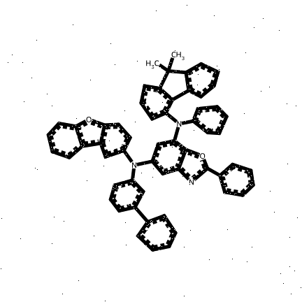 CC1(C)c2ccccc2-c2c(N(c3ccccc3)c3cc(N(c4cccc(-c5ccccc5)c4)c4ccc5oc6ccccc6c5c4)cc4nc(-c5ccccc5)oc34)cccc21